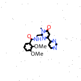 COc1cccc(C(=O)NCc2nc(-c3ccncn3)cc(=O)n2C)c1OC